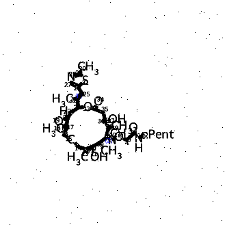 CCCCCNC(=O)CO/N=C1/[C@H](C)[C@@H](O)[C@@H](C)CCC[C@@]2(C)O[C@H]2CC(/C(C)=C/c2cnc(C)s2)OC(=O)C[C@H](O)C1(C)C